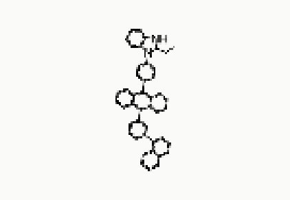 CCC1Nc2ccccc2N1c1ccc(-c2c3ccccc3c(-c3cccc(-c4cccc5ccccc45)c3)c3ccccc23)cc1